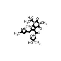 Cc1cc(Cc2sc3c(c2C(=O)N2C[C@](C)(O)CO2)c(=O)n(C)c(=O)n3C(C)C)n(C)n1